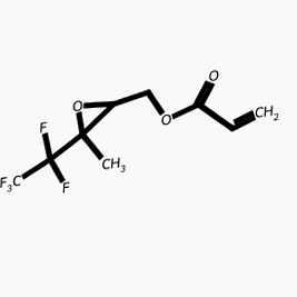 C=CC(=O)OCC1OC1(C)C(F)(F)C(F)(F)F